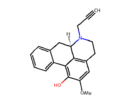 C#CCN1CCc2cc(OC)c(O)c3c2[C@H]1Cc1ccccc1-3